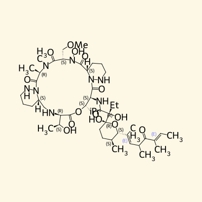 C/C=C(\C)C(=O)C(C)/C=C(\C)[C@H]1O[C@@](O)([C@](O)(CC)C(=O)N[C@@H]2C(=O)N3NCCC[C@H]3C(=O)N(O)[C@@H](COC)C(=O)N(C)[C@H](C)C(=O)N3NCCC[C@H]3CN[C@H]([C@H](C)O)C(=O)O[C@H]2C(C)C)CC[C@@H]1C